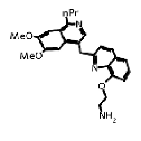 CCCc1ncc(Cc2ccc3cccc(OCCN)c3n2)c2cc(OC)c(OC)cc12